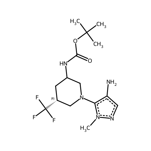 Cn1ncc(N)c1N1CC(NC(=O)OC(C)(C)C)C[C@@H](C(F)(F)F)C1